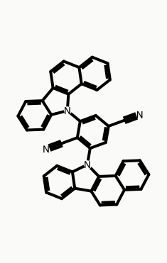 N#Cc1cc(-n2c3ccccc3c3ccc4ccccc4c32)c(C#N)c(-n2c3ccccc3c3ccc4ccccc4c32)c1